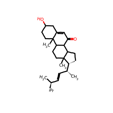 CC(C)[C@@H](C)/C=C/[C@@H](C)[C@H]1CCC2C3C(=O)C=C4CC(O)CCC4(C)C3CCC21C